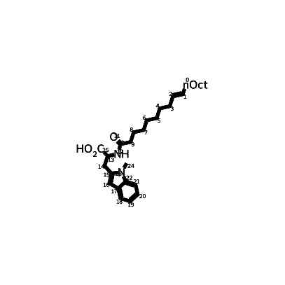 CCCCCCCCC=CCCCCCCCC(=O)NC(Cc1cc2ccccc2n1C)C(=O)O